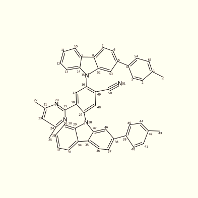 Cc1ccc(-c2ccc3c4ccccc4n(-c4cc(-c5nc(C)cc(C)n5)c(-n5c6ccccc6c6ccc(-c7ccc(C)cc7)cc65)cc4C#N)c3c2)cc1